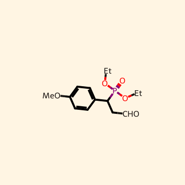 CCOP(=O)(OCC)C(CC=O)c1ccc(OC)cc1